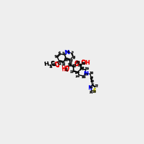 COc1ccc2nccc([C@@H](O)CC[C@@H]3CCN(CC#Cc4cscn4)C[C@@H]3C(=O)O)c2c1